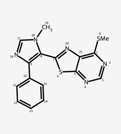 CSc1ncnc2sc(-c3c(-c4ccccc4)ncn3C)nc12